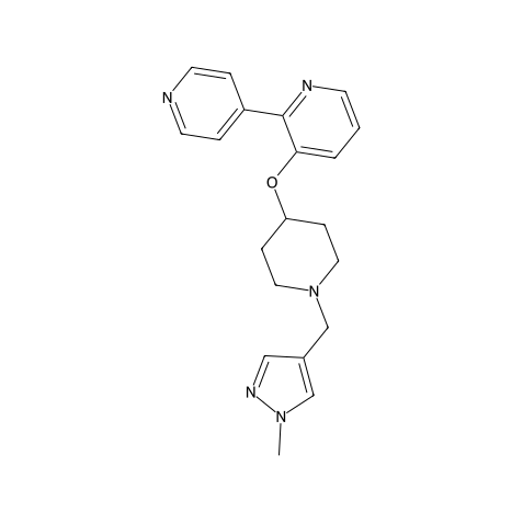 Cn1cc(CN2CCC(Oc3cccnc3-c3ccncc3)CC2)cn1